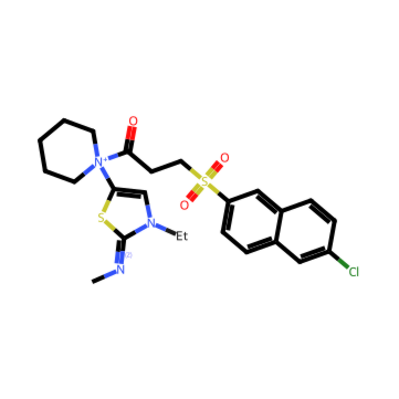 CCn1cc([N+]2(C(=O)CCS(=O)(=O)c3ccc4cc(Cl)ccc4c3)CCCCC2)s/c1=N\C